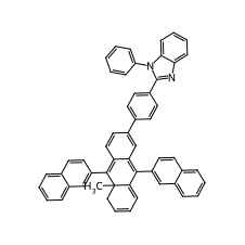 CC12CC=CC=C1C(c1ccc3ccccc3c1)=c1cc(-c3ccc(-c4nc5ccccc5n4-c4ccccc4)cc3)ccc1=C2c1ccc2ccccc2c1